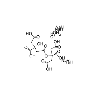 O.O.O=C(O)CC(O)(CC(=O)OC(CC(=O)O)(CC(=O)O)C(=O)O)C(=O)O.[NaH].[NaH].[NaH].[NaH]